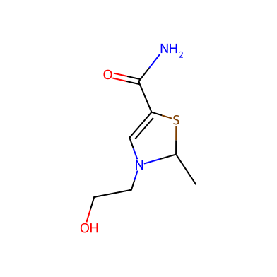 CC1SC(C(N)=O)=CN1CCO